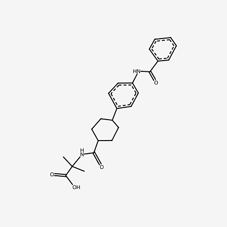 CC(C)(NC(=O)C1CCC(c2ccc(NC(=O)c3ccccc3)cc2)CC1)C(=O)O